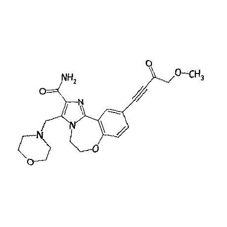 COCC(=O)C#Cc1ccc2c(c1)-c1nc(C(N)=O)c(CN3CCOCC3)n1CCO2